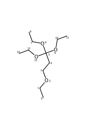 CCOCCC(OCC)(OCC)OCC